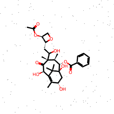 CC(=O)O[C@H]1CO[C@@H]1CC(O)[C@@]1(C)C(=O)[C@H](O)C2=C(C)[C@@H](O)C[C@@](O)([C@@H](OC(=O)c3ccccc3)[C@@H]1C)C2(C)C